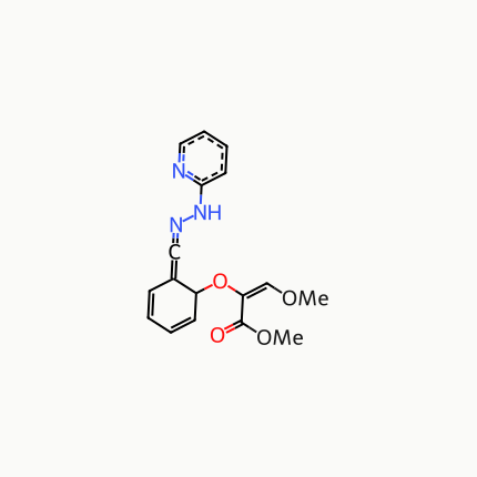 COC=C(OC1C=CC=CC1=C=NNc1ccccn1)C(=O)OC